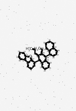 C=C/C=c1/c(-c2cccc3c2oc2ccccc23)c2ccccc2c(-c2cccc3ccccc23)/c1=C/C